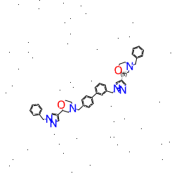 c1ccc(CN2CCO[C@@H](c3cnn(Cc4cccc(-c5ccc(CN6CCOC(c7cnn(Cc8ccccc8)c7)C6)cc5)c4)c3)C2)cc1